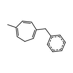 CC1=CCC=C(Cc2ccccc2)C=C1